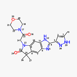 Cc1cc(-c2nc3cc4c(cc3[nH]2)N(CC(=O)N2CCOCC2)C(=O)C4(C)C)n[nH]1